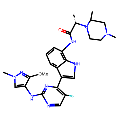 COc1nn(C)cc1Nc1ncc(F)c(-c2c[nH]c3c(NC(=O)[C@H](C)N4CCN(C)CC4C)cccc23)n1